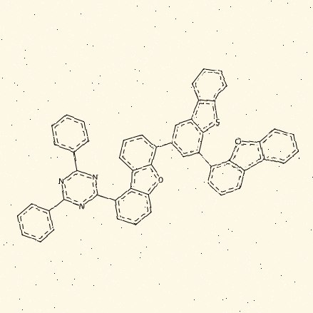 c1ccc(-c2nc(-c3ccccc3)nc(-c3cccc4oc5c(-c6cc(-c7cccc8c7oc7ccccc78)c7sc8ccccc8c7c6)cccc5c34)n2)cc1